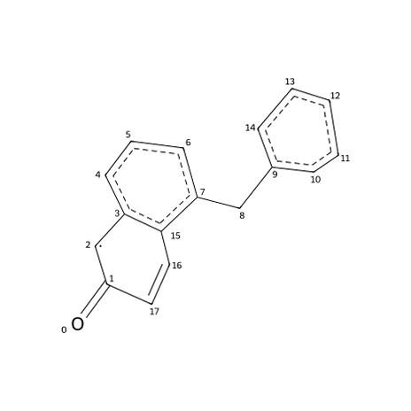 O=C1[CH]c2cccc(Cc3ccccc3)c2C=C1